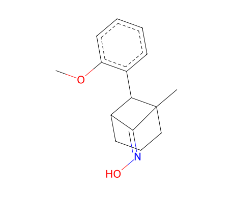 COc1ccccc1C1C2CCCC1(C)/C2=N/O